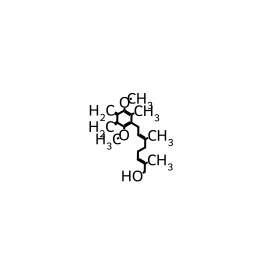 C=c1c(OC)c(C)c(C/C=C(\C)CC/C=C(\C)CO)c(OC)c1=C